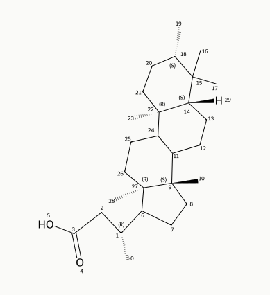 C[C@H](CC(=O)O)C1CC[C@@]2(C)C3CC[C@H]4C(C)(C)[C@@H](C)CC[C@]4(C)C3CC[C@]12C